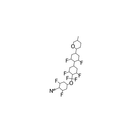 CC1CCC(C2CC(F)C(C3CC(F)C(C(F)(F)OC4CC(F)C(C#N)C(F)C4)C(F)C3)C(F)C2)OC1